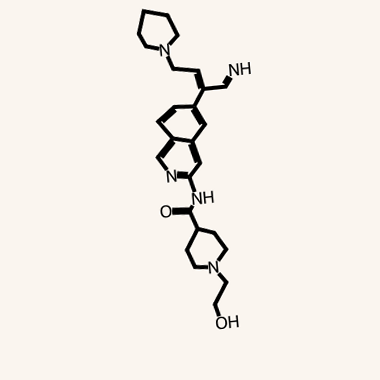 N=C/C(=C/CN1CCCCC1)c1ccc2cnc(NC(=O)C3CCN(CCO)CC3)cc2c1